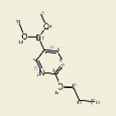 C=C(/N=C\C(=C/C)B(OC)OC)OCCF